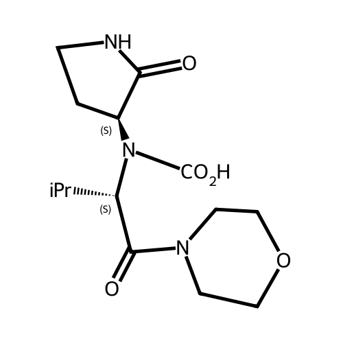 CC(C)[C@@H](C(=O)N1CCOCC1)N(C(=O)O)[C@H]1CCNC1=O